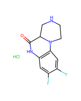 Cl.O=C1Nc2cc(F)c(F)cc2N2CCNCC12